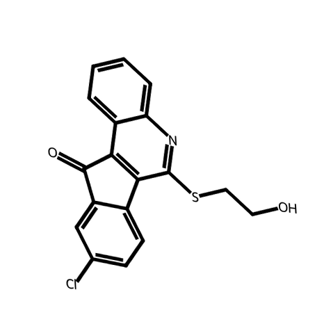 O=C1c2cc(Cl)ccc2-c2c(SCCO)nc3ccccc3c21